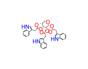 O=C(Cc1c[nH]c2ccccc12)O[C@H]1OC[CH][C@@H](OC(=O)Cc2c[nH]c3ccccc23)[C@H]1OC(=O)Cc1c[nH]c2ccccc12